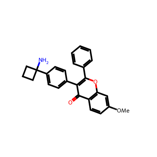 COc1ccc2c(=O)c(-c3ccc(C4(N)CCC4)cc3)c(-c3ccccc3)oc2c1